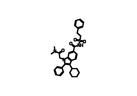 CN(C)C(=O)Cn1c(-c2ccccc2)c(C2CCCCC2)c2ccc(C(=O)NS(=O)(=O)CCc3ccccc3)cc21